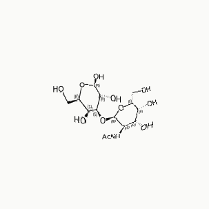 CC(=O)N[C@H]1[C@@H](O[C@@H]2[C@@H](O)[C@H](O)O[C@H](CO)[C@@H]2O)O[C@H](CO)[C@H](O)[C@@H]1O